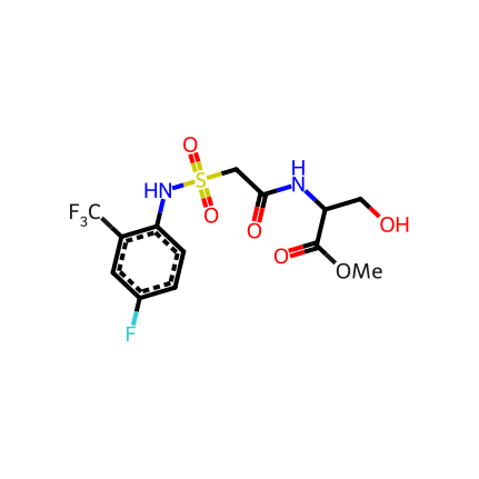 COC(=O)C(CO)NC(=O)CS(=O)(=O)Nc1ccc(F)cc1C(F)(F)F